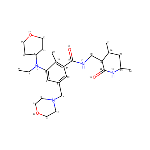 CCN(c1cc(CN2CCOCC2)cc(C(=O)NCC2C(=O)NC(C)CC2C)c1C)C1CCOCC1